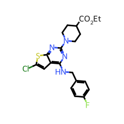 CCOC(=O)C1CCN(c2nc(NCc3ccc(F)cc3)c3cc(Cl)sc3n2)CC1